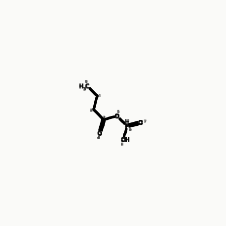 CCCC(=O)O[PH](=O)O